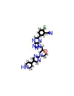 N#Cc1cc(-c2cnc3nnn(CC4CN(c5ncc(C6=CCNCC6)cn5)CCO4)c3n2)ccc1F